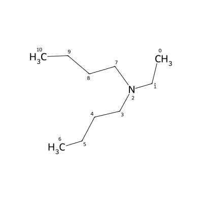 C[CH]N(CCCC)CCCC